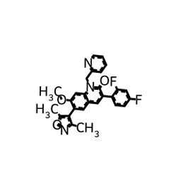 COc1cc2c(cc1-c1c(C)noc1C)cc(-c1ccc(F)cc1F)c(=O)n2Cc1ccccn1